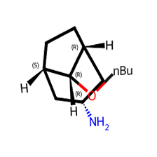 CCCCO[C@H]1[C@@H]2CC[C@H]1C[C@@H](N)C2